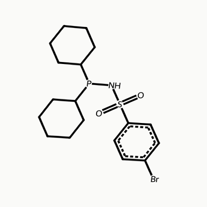 O=S(=O)(NP(C1CCCCC1)C1CCCCC1)c1ccc(Br)cc1